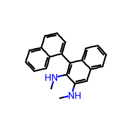 CNc1cc2ccccc2c(-c2cccc3ccccc23)c1NC